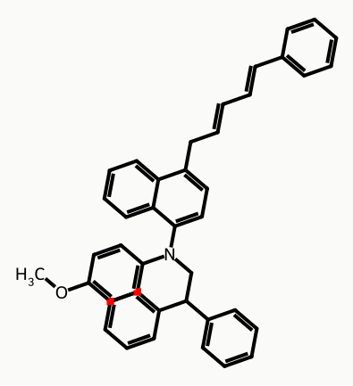 COc1ccc(N(CC(c2ccccc2)c2ccccc2)c2ccc(C/C=C/C=C/c3ccccc3)c3ccccc23)cc1